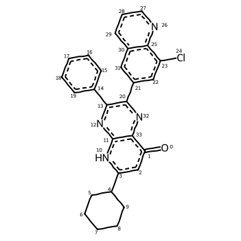 O=c1cc(C2CCCCC2)[nH]c2nc(-c3ccccc3)c(-c3cc(Cl)c4ncccc4c3)nc12